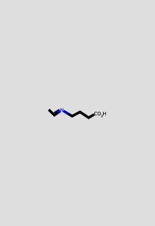 CC=NCCCC(=O)O